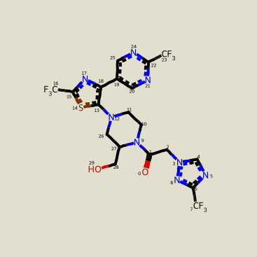 O=C(Cn1cnc(C(F)(F)F)n1)N1CCN(c2sc(C(F)(F)F)nc2-c2cnc(C(F)(F)F)nc2)CC1CO